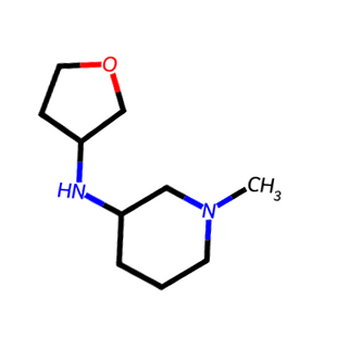 CN1CCCC(NC2CCOC2)C1